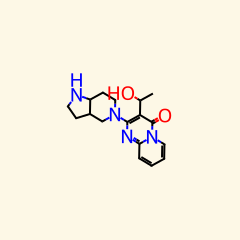 CC(O)c1c(N2CCC3NCCC3C2)nc2ccccn2c1=O